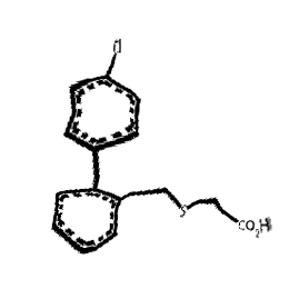 O=C(O)CSCc1ccccc1-c1ccc(Cl)cc1